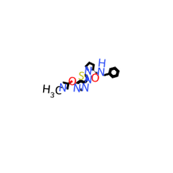 CN1CC(Oc2ncnc3nc(N4CCC[C@@H]4C(=O)NCc4ccccc4)sc23)C1